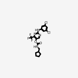 O=C(NCC1CCCC1)Oc1cnc(Nc2cc(Cl)cc(Cl)c2)nc1C(F)(F)F